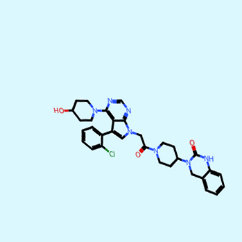 O=C(Cn1cc(-c2ccccc2Cl)c2c(N3CCC(O)CC3)ncnc21)N1CCC(N2Cc3ccccc3NC2=O)CC1